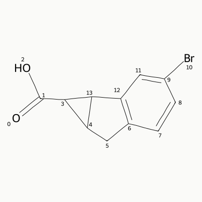 O=C(O)C1C2Cc3ccc(Br)cc3C21